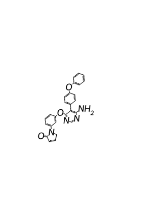 Nc1ncnc(Oc2cccc(N3CC=CC3=O)c2)c1-c1ccc(Oc2ccccc2)cc1